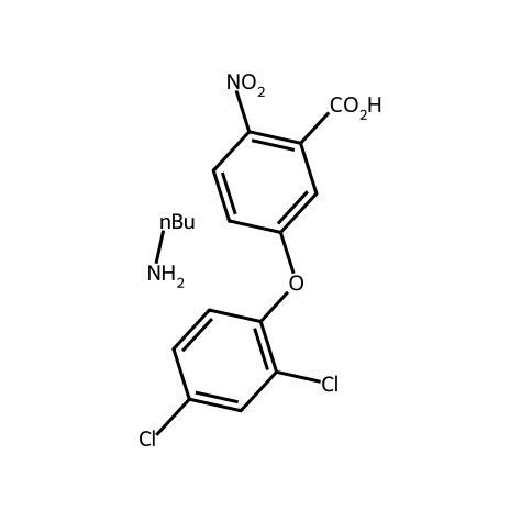 CCCCN.O=C(O)c1cc(Oc2ccc(Cl)cc2Cl)ccc1[N+](=O)[O-]